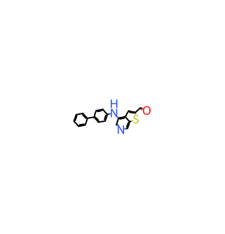 O=Cc1cc2c(Nc3ccc(-c4ccccc4)cc3)cncc2s1